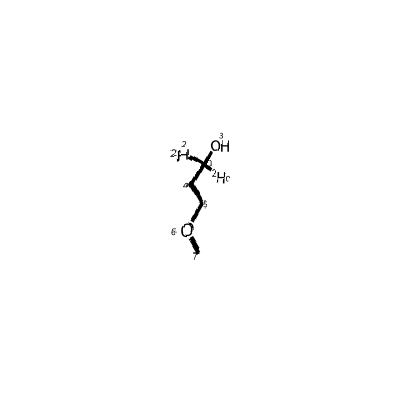 [2H]C([2H])(O)CCOC